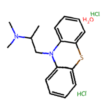 CC(CN1c2ccccc2Sc2ccccc21)N(C)C.Cl.Cl.O